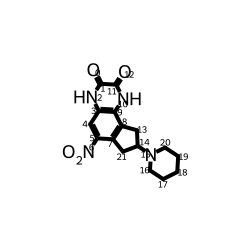 O=c1[nH]c2cc([N+](=O)[O-])c3c(c2[nH]c1=O)CC(N1CCCCC1)C3